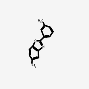 Bc1ccc2oc(-c3cccc(C)c3)nc2c1